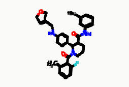 Cc1cccc(F)c1C(=O)N1CCCC(C(=O)Nc2cccc(C(C)(C)C)c2)C1[C@@H]1C=CC(NCC2CCOC2)=CC1